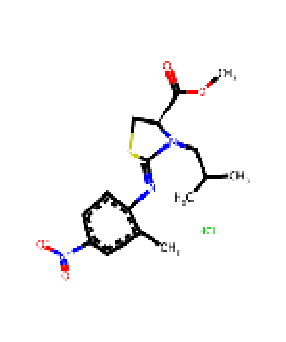 COC(=O)[C@@H]1CS/C(=N\c2ccc([N+](=O)[O-])cc2C)N1CC(C)C.Cl